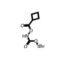 CC(C)(C)OC(=O)NOC(=O)C1CCC1